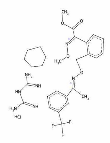 C1CCCCC1.CO/N=C(/C(=O)OC)c1ccccc1CO/N=C(\C)c1cccc(C(F)(F)F)c1.Cl.N=C(N)NC(=N)N